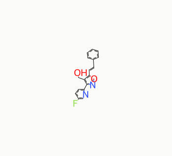 OCc1c(-c2ccc(F)cn2)noc1C=Cc1ccccc1